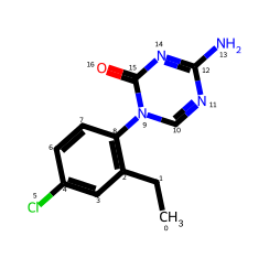 CCc1cc(Cl)ccc1-n1cnc(N)nc1=O